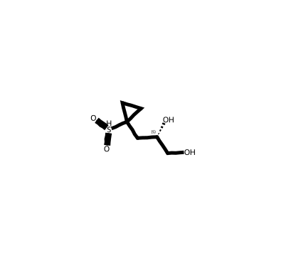 O=[SH](=O)C1(C[C@H](O)CO)CC1